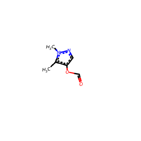 Cc1c(OC=O)cnn1C